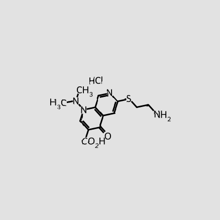 CN(C)n1cc(C(=O)O)c(=O)c2cc(SCCN)ncc21.Cl